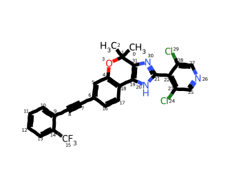 CC1(C)Oc2cc(C#Cc3ccccc3C(F)(F)F)ccc2-c2[nH]c(-c3c(Cl)cncc3Cl)nc21